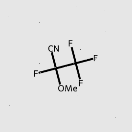 COC(F)(C#N)C(F)(F)F